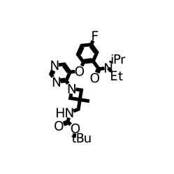 CCN(C(=O)c1cc(F)ccc1Oc1cncnc1N1CC(C)(CNC(=O)OC(C)(C)C)C1)C(C)C